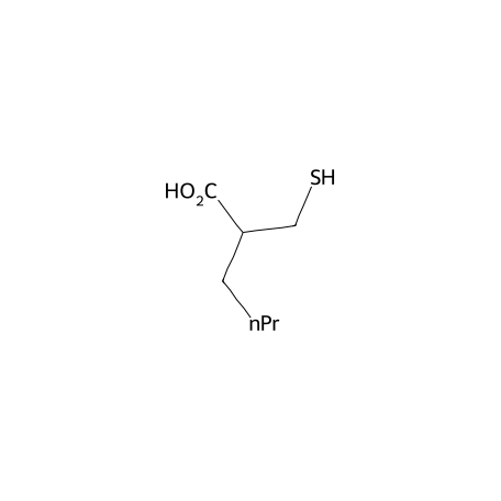 CCCCC(CS)C(=O)O